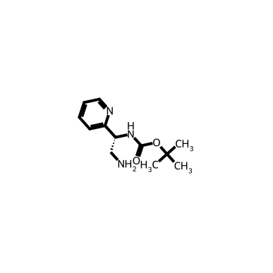 CC(C)(C)OC(=O)N[C@H](CN)c1ccccn1